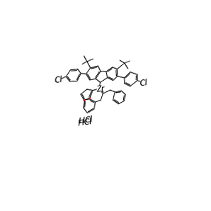 CC(C)(C)c1cc2c(cc1-c1ccc(Cl)cc1)[CH]([Zr]([C]1=CC=CC1)=[C](Cc1ccccc1)Cc1ccccc1)c1cc(-c3ccc(Cl)cc3)c(C(C)(C)C)cc1-2.Cl.Cl